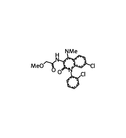 CNc1c(NC(=O)COC)c(=O)n(-c2ccccc2Cl)c2cc(Cl)ccc12